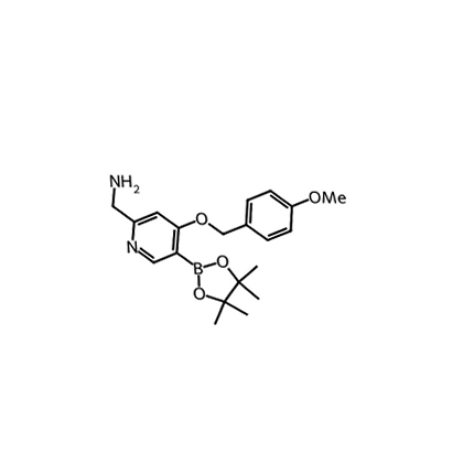 COc1ccc(COc2cc(CN)ncc2B2OC(C)(C)C(C)(C)O2)cc1